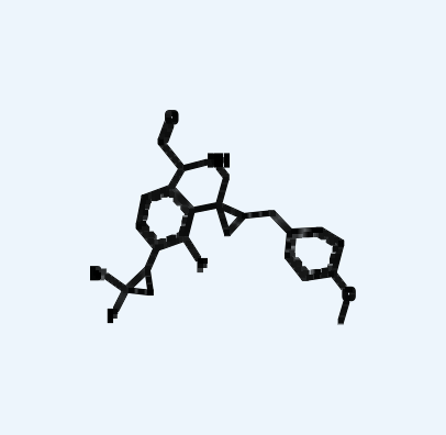 COc1ccc(CC2CC23CNC(C=O)c2ccc(C4CC4(F)Br)c(F)c23)cc1